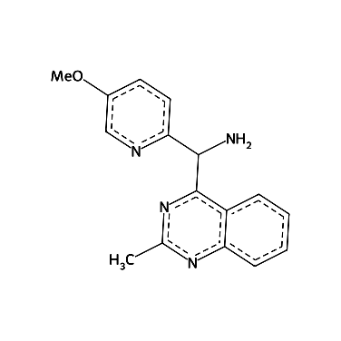 COc1ccc(C(N)c2nc(C)nc3ccccc23)nc1